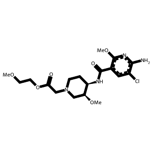 COCCOC(=O)CN1CC[C@@H](NC(=O)c2cc(Cl)c(N)nc2OC)[C@@H](OC)C1